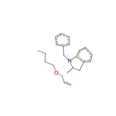 C=CCOCCCC.CC1Cc2ccccc2N1Cc1ccccc1